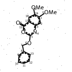 COc1cc2nc(OCc3ccccc3)oc(=O)c2cc1OC